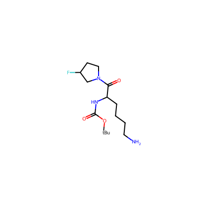 CC(C)(C)OC(=O)NC(CCCCN)C(=O)N1CCC(F)C1